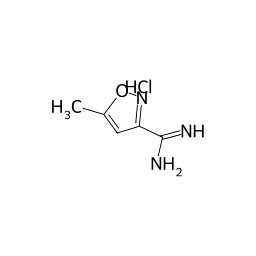 Cc1cc(C(=N)N)no1.Cl